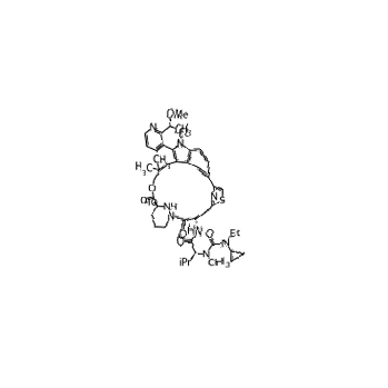 CCN(C(=O)N(C)[C@H](C(=O)N[C@H]1Cc2nc(cs2)-c2ccc3c(c2)c(c(-c2cccnc2[C@H](C)OC)n3CC)CC(C)(C)COC(=O)[C@@]2(O)CCCN(N2)C1=O)C(C)C)C1CC1